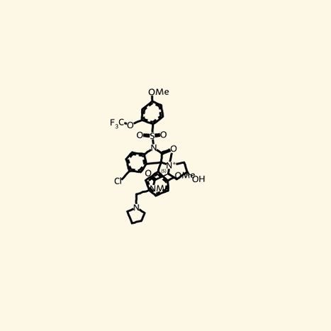 CNC(=O)[C@@H]1C[C@@H](O)C[N+]1(C)C1(c2cc(CN3CCCC3)ccc2OC)C(=O)N(S(=O)(=O)c2ccc(OC)cc2OC(F)(F)F)c2ccc(Cl)cc21